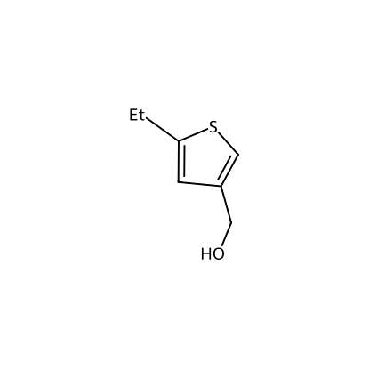 CCc1cc(CO)cs1